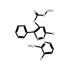 CCCCCCCCSC(=O)Oc1cc(Cl)nnc1-c1ccccc1.O=C(O)c1ncccc1F